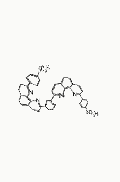 O=S(=O)(O)c1ccc(-c2ccc3ccc4ccc(-c5cccc(-c6ccc7ccc8ccc(-c9ccc(S(=O)(=O)O)cc9)nc8c7n6)c5)nc4c3n2)cc1